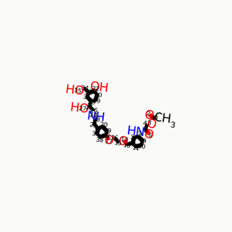 CC(=O)OCC(=O)Nc1cccc(COCCOc2ccc(CCNC[C@@H](O)c3ccc(O)c(CO)c3)cc2)c1